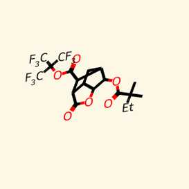 CCC(C)(C)C(=O)OC1C2CC3C1OC(=O)C3C2C(=O)OC(C(F)(F)F)(C(F)(F)F)C(F)(F)F